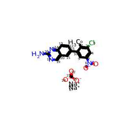 Cc1c(Cl)cc([N+](=O)[O-])cc1-c1ccc2nc(N)ncc2c1.O=C([O-])[O-].[Na+].[Na+]